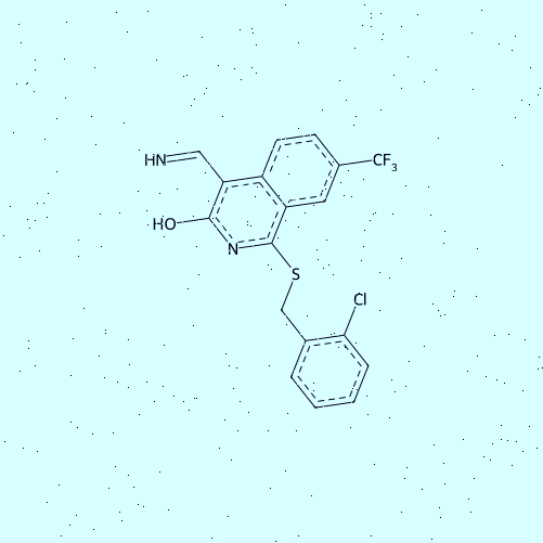 N=Cc1c(O)nc(SCc2ccccc2Cl)c2cc(C(F)(F)F)ccc12